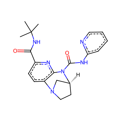 CC(C)(C)NC(=O)c1ccc2c(n1)N(C(=O)Nc1ccccn1)[C@H]1CCN2C1